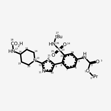 CC(C)OC(=O)Nc1ccc(-c2cnc(N3CCC(NC(=O)O)CC3)s2)c(S(=O)(=O)NC(C)(C)C)c1